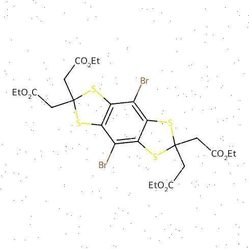 CCOC(=O)CC1(CC(=O)OCC)Sc2c(Br)c3c(c(Br)c2S1)SC(CC(=O)OCC)(CC(=O)OCC)S3